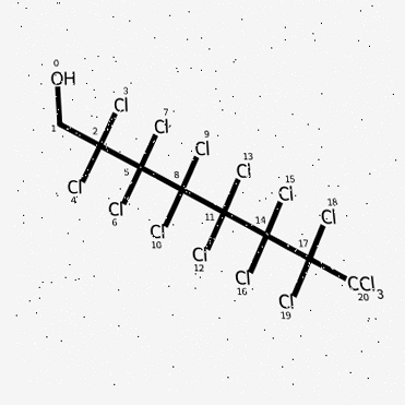 OCC(Cl)(Cl)C(Cl)(Cl)C(Cl)(Cl)C(Cl)(Cl)C(Cl)(Cl)C(Cl)(Cl)C(Cl)(Cl)Cl